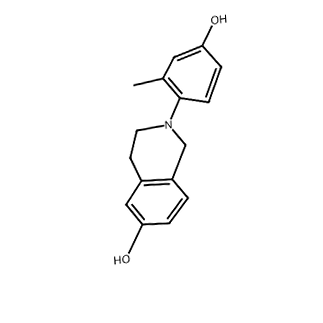 Cc1cc(O)ccc1N1CCc2cc(O)ccc2C1